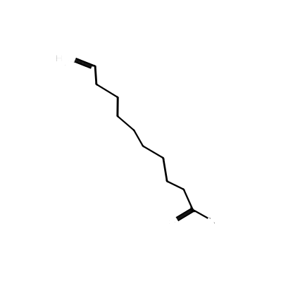 C=CCCCCCCCCC([NH])=O